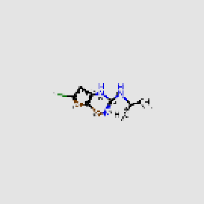 CC(C)NC1=NSc2sc(F)cc2N1